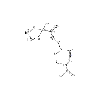 C=C(C)N(C)/C=N\C(C)COC(=O)C(C)(CO)CO